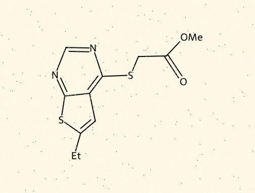 CCc1cc2c(SCC(=O)OC)ncnc2s1